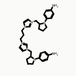 Nc1ccc(N2CCCC2Cn2cc[n+](CCCn3cc[n+](CC4CCCN4c4ccc(N)cc4)c3)c2)cc1